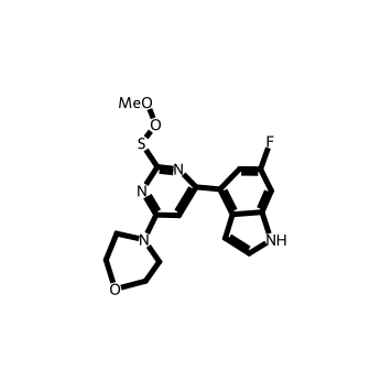 COOSc1nc(-c2cc(F)cc3[nH]ccc23)cc(N2CCOCC2)n1